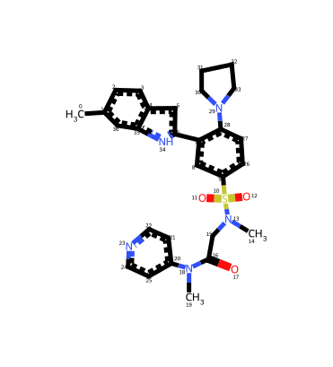 Cc1ccc2cc(-c3cc(S(=O)(=O)N(C)CC(=O)N(C)c4ccncc4)ccc3N3CCCC3)[nH]c2c1